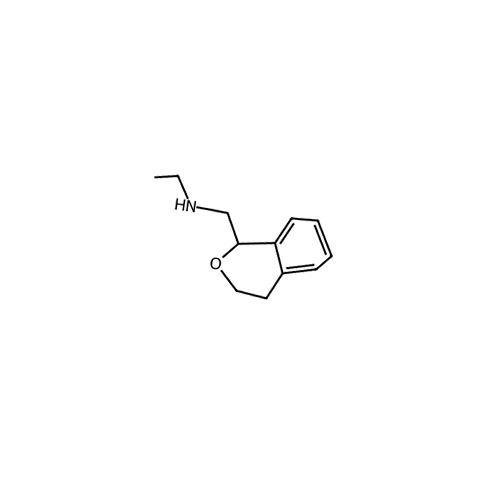 CCNCC1OCCc2ccccc21